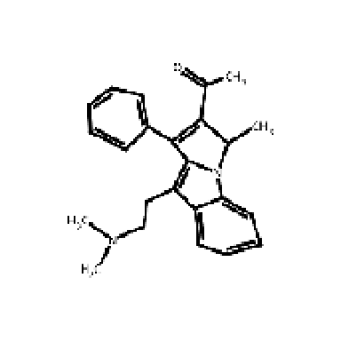 CC(=O)C1=C(c2ccccc2)c2c(CCN(C)C)c3ccccc3n2C1C